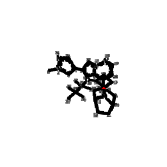 Cn1cc(-c2cc3c(N4CC5CCC(C4)N5C4CCC4O[Si](C)(C)C(C)(C)C)ccnn3c2)cn1